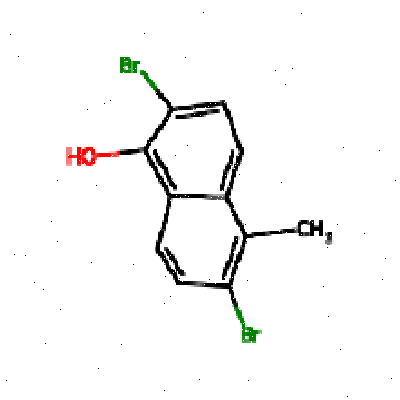 Cc1c(Br)ccc2c(O)c(Br)ccc12